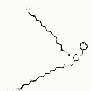 CCCCCC=CCC=CCCCCCCCCOC[C@@H]1CN(Cc2ccccc2)C[C@H]1COCCCCCCCCC=CCC=CCCCCC